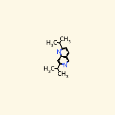 CC(C)c1cc2nc(C(C)C)ccc2cn1